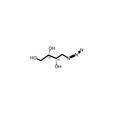 [N-]=[N+]=NC[C@H](O)[C@@H](O)CO